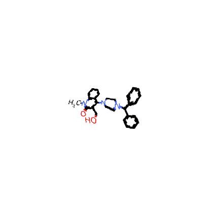 Cn1c(=O)c(CO)c(N2CCN(C(c3ccccc3)c3ccccc3)CC2)c2ccccc21